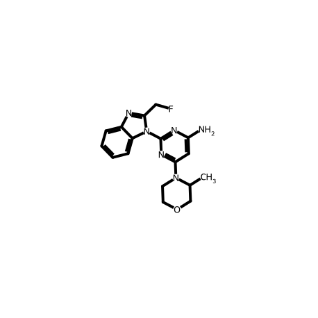 CC1COCCN1c1cc(N)nc(-n2c(CF)nc3ccccc32)n1